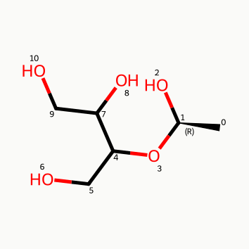 C[C@H](O)OC(CO)C(O)CO